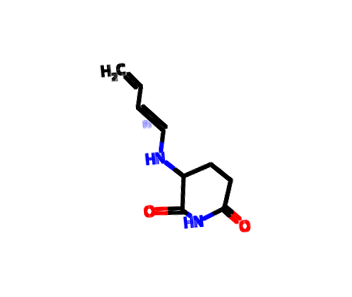 C=C/C=C/NC1CCC(=O)NC1=O